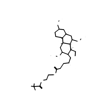 C[C@H](CCC(=O)OCCOC(=O)C(F)(F)S(=O)(=O)O)[C@H]1CC[C@H]2[C@@H]3C(OC=O)C[C@@H]4CC(OC=O)CC[C@]4(C)[C@H]3CC(OC=O)[C@]12C